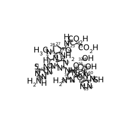 CN(Cc1cnc2nc(N)nc(N)c2n1)c1ccc(C(=O)N[C@@H](CCC(=O)O)C(=O)O)cc1.Nc1ccn([C@@H]2O[C@H](CO)[C@@H](O)C2(F)F)c(=O)n1.Nc1nc(=S)c2[nH]cnc2[nH]1.Sn1cnc2cncnc21